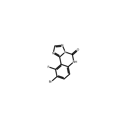 O=c1[nH]c2ccc(Br)c(F)c2c2ncnn12